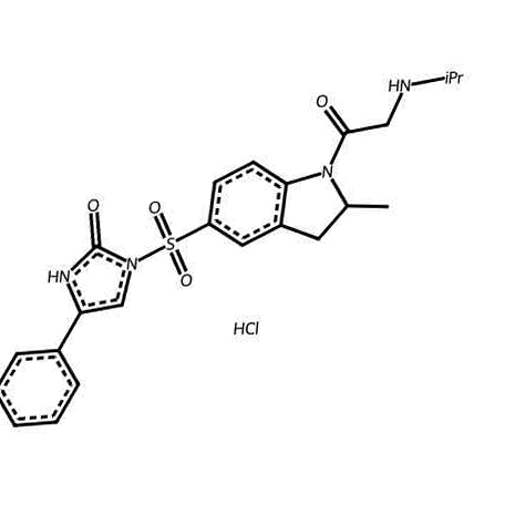 CC(C)NCC(=O)N1c2ccc(S(=O)(=O)n3cc(-c4ccccc4)[nH]c3=O)cc2CC1C.Cl